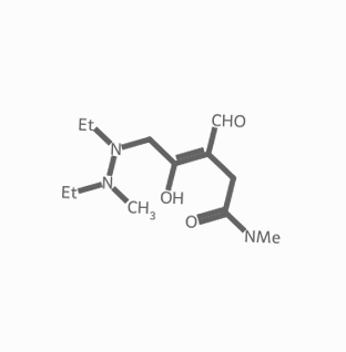 CCN(C)N(CC)C/C(O)=C(\C=O)CC(=O)NC